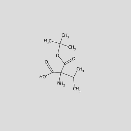 CC(C)C(N)(C(=O)O)C(=O)OC(C)(C)C